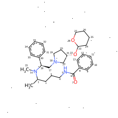 CC(CCCNC(=O)c1ccccc1)N(C)[C@H](CN1CC[C@H](OC2CCCCO2)C1)c1ccccc1